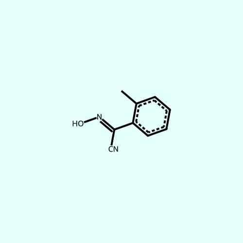 Cc1ccccc1C(C#N)=NO